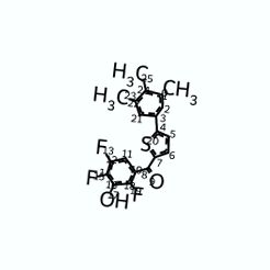 Cc1cc(-c2ccc(C(=O)c3cc(F)c(F)c(O)c3F)s2)cc(C)c1C